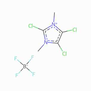 Cn1c(Cl)c(Cl)[n+](C)c1Cl.F[B-](F)(F)F